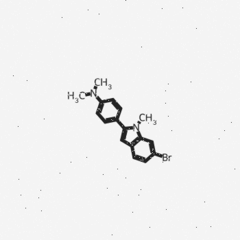 CN(C)c1ccc(-c2cc3ccc(Br)cc3n2C)cc1